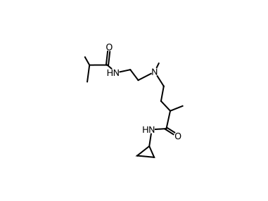 CC(C)C(=O)NCCN(C)CCC(C)C(=O)NC1CC1